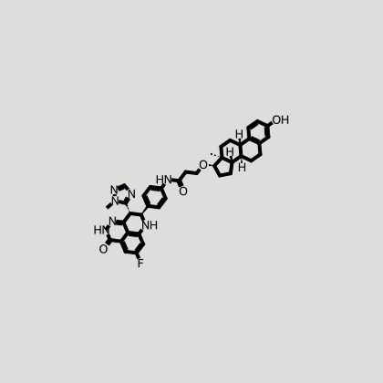 Cn1ncnc1[C@H]1c2n[nH]c(=O)c3cc(F)cc(c23)N[C@@H]1c1ccc(NC(=O)CCO[C@H]2CC[C@H]3[C@@H]4CCc5cc(O)ccc5[C@H]4CC[C@]23C)cc1